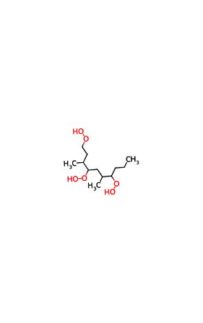 CCCC(OO)C(C)CC(OO)C(C)CCOO